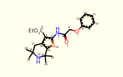 CCOC(=O)c1c(NC(=O)COc2ccccc2)sc2c1CC(C)(C)NC2(C)C